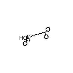 OP(OCCCCCCCCC(c1ccccc1)c1ccccc1)Oc1ccccc1